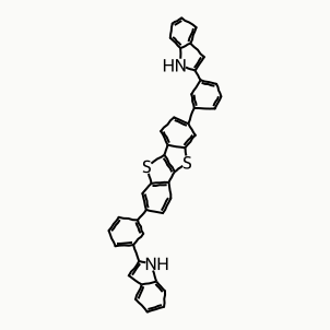 c1cc(-c2ccc3c(c2)sc2c4ccc(-c5cccc(-c6cc7ccccc7[nH]6)c5)cc4sc32)cc(-c2cc3ccccc3[nH]2)c1